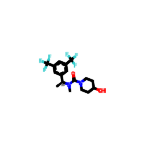 C[C@@H](c1cc(C(F)(F)F)cc(C(F)(F)F)c1)N(C)C(=O)N1CCC(O)CC1